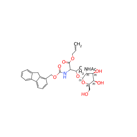 C=CCOC(=O)C(NC(=O)OCc1cccc2c1Cc1ccccc1-2)C(C)O[C@H]1O[C@H](CO)[C@H](O)[C@H](O)[C@H]1NC(C)=O